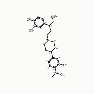 CNCC(CCN1CCC(c2ccc([S+](C)[O-])c(F)c2)CC1)c1ccc(Cl)c(Cl)c1